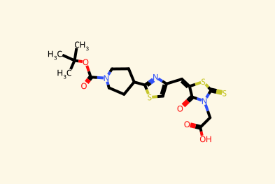 CC(C)(C)OC(=O)N1CCC(c2nc(C=C3SC(=S)N(CC(=O)O)C3=O)cs2)CC1